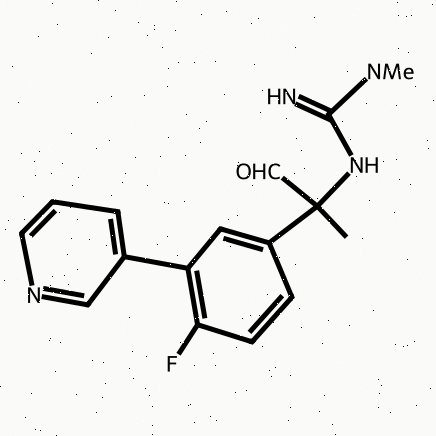 CNC(=N)NC(C)(C=O)c1ccc(F)c(-c2cccnc2)c1